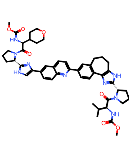 COC(=O)N[C@H](C(=O)N1CCC[C@H]1c1nc2c([nH]1)CCCc1cc(-c3ccc4cc(-c5c[nH]c([C@@H]6CCCN6C(=O)[C@@H](NC(=O)OC)C6CCOCC6)n5)ccc4n3)ccc1-2)C(C)C